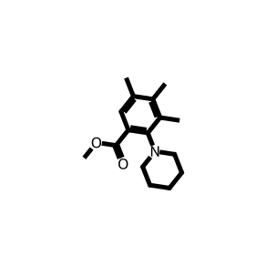 COC(=O)c1cc(C)c(C)c(C)c1N1CCCCC1